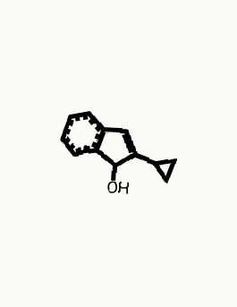 OC1C(C2CC2)=Cc2ccccc21